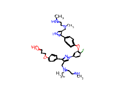 CNCCN(C)Cc1c[nH]nc1-c1ccc(Oc2cc(-n3cc(CN(C)CCNC)c(-c4ccc(OCCCO)cc4)n3)ccc2F)cc1